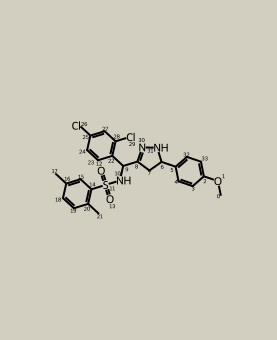 COc1ccc(C2CC(C(NS(=O)(=O)c3cc(C)ccc3C)c3ccc(Cl)cc3Cl)=NN2)cc1